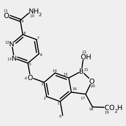 Cc1cc(Oc2ccc(C(N)=O)nn2)cc2c1C(CC(=O)O)OB2O